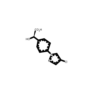 O=C(O)[C@H](O)c1ccc(-n2cc(Cl)cn2)cc1